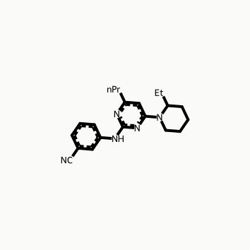 CCCc1cc(N2CCCCC2CC)nc(Nc2cccc(C#N)c2)n1